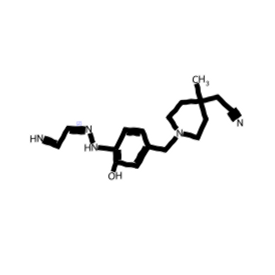 CC1(CC#N)CCN(Cc2ccc(N/N=C\C=N)c(O)c2)CC1